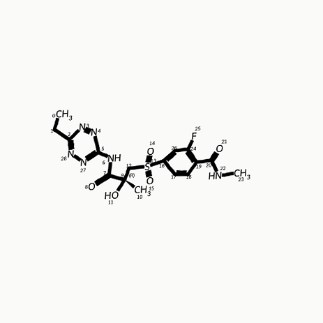 CCc1nnc(NC(=O)[C@@](C)(O)CS(=O)(=O)c2ccc(C(=O)NC)c(F)c2)nn1